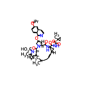 CC(C)Oc1ccc2c(O[C@@H]3C[C@H]4C(=O)N[C@]5(C(=O)NS(=O)(=O)C6(C)CC6)C[C@H]5C=CCC[C@H](C)C[C@@H](C)[C@H](N(C(=O)O)[C@H](C)C(F)(F)F)C(=O)N4C3)nccc2c1